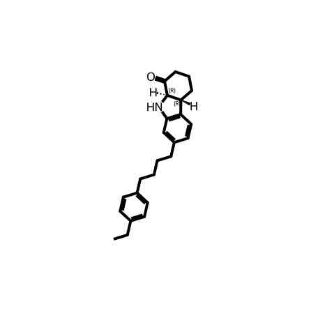 CCc1ccc(CCCCc2ccc3c(c2)N[C@H]2C(=O)CCC[C@H]32)cc1